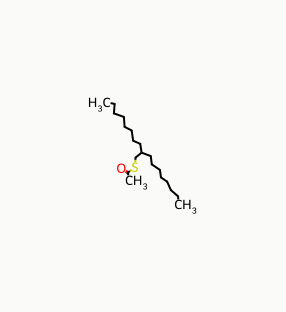 CCCCCCCCC(CCCCCCCC)CSC(C)=O